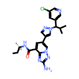 CC[C@H](C)NC(=O)c1cc(-c2cnn(C(c3cncc(Cl)c3)C(C)C)c2)cn2nc(N)nc12